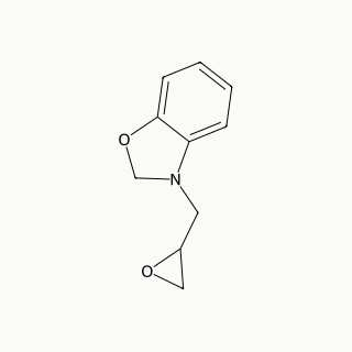 c1ccc2c(c1)OCN2CC1CO1